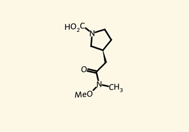 CON(C)C(=O)C[C@@H]1CCN(C(=O)O)C1